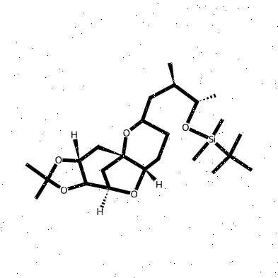 C[C@H](CC1CC[C@@H]2O[C@@H]3C[C@]2(C[C@H]2OC(C)(C)OC32)O1)[C@H](C)O[Si](C)(C)C(C)(C)C